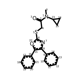 CN(C(=O)CSc1nc(-c2ccccc2)c(-c2ccccc2)o1)C1CC1